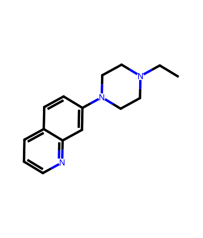 CCN1CCN(c2ccc3cccnc3c2)CC1